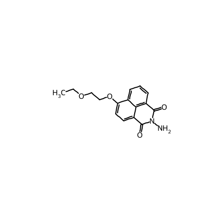 CCOCCOc1ccc2c3c(cccc13)C(=O)N(N)C2=O